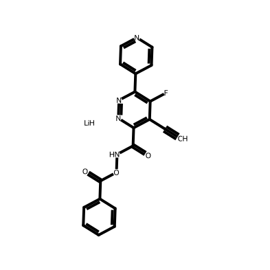 C#Cc1c(C(=O)NOC(=O)c2ccccc2)nnc(-c2ccncc2)c1F.[LiH]